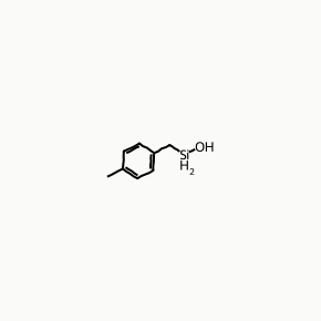 Cc1ccc(C[SiH2]O)cc1